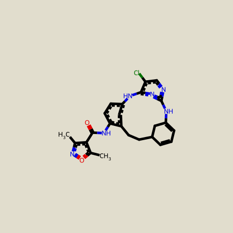 Cc1noc(C)c1C(=O)Nc1ccc2cc1CCC1C=CC=C(C1)Nc1ncc(Cl)c(n1)N2